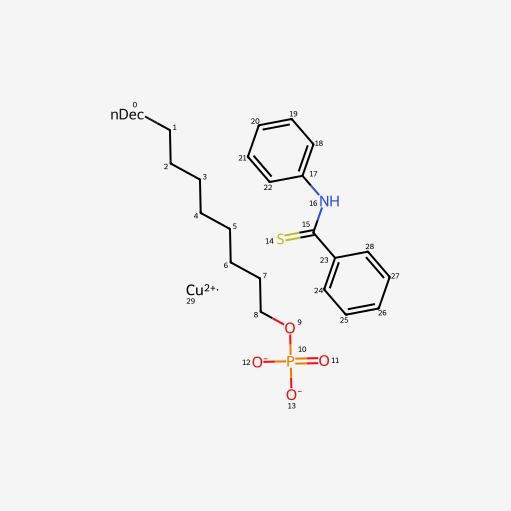 CCCCCCCCCCCCCCCCCCOP(=O)([O-])[O-].S=C(Nc1ccccc1)c1ccccc1.[Cu+2]